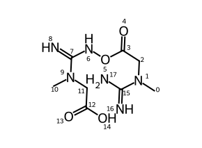 CN(CC(=O)ONC(=N)N(C)CC(=O)O)C(=N)N